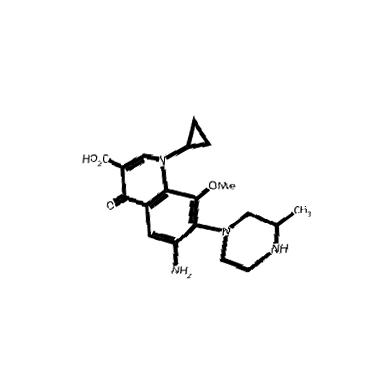 COc1c(N2CCNC(C)C2)c(N)cc2c(=O)c(C(=O)O)cn(C3CC3)c12